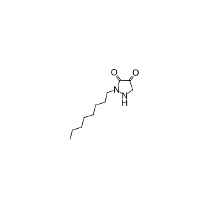 CCCCCCCCN1NCC(=O)C1=O